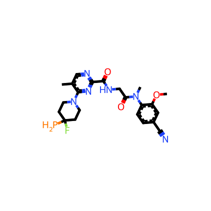 COc1cc(C#N)ccc1N(C)C(=O)CNC(=O)c1ncc(C)c(N2CCC(F)(P)CC2)n1